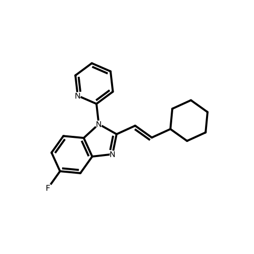 Fc1ccc2c(c1)nc(C=CC1CCCCC1)n2-c1ccccn1